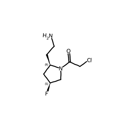 NCC[C@@H]1C[C@H](F)CN1C(=O)CCl